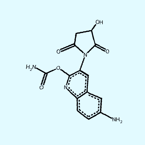 NC(=O)Oc1nc2ccc(N)cc2cc1N1C(=O)CC(O)C1=O